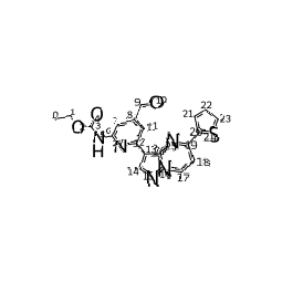 CCOC(=O)Nc1cc(C=O)cc(-c2cnn3ccc(-c4cccs4)nc23)n1